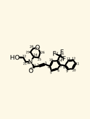 O=C(C#Cc1ccc(-c2ccccc2)c(C(F)(F)F)c1)N(CCO)C1CCOCC1